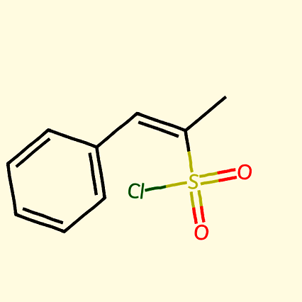 CC(=Cc1ccccc1)S(=O)(=O)Cl